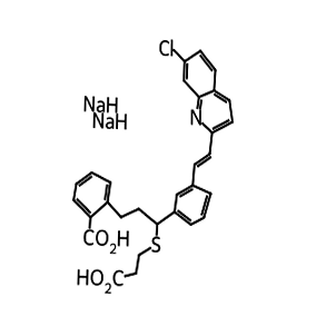 O=C(O)CCSC(CCc1ccccc1C(=O)O)c1cccc(C=Cc2ccc3ccc(Cl)cc3n2)c1.[NaH].[NaH]